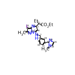 CCOC(=O)C(CC)c1cc(NCc2cccc(-c3nccn3C)c2)n2nc(C)c(I)c2n1